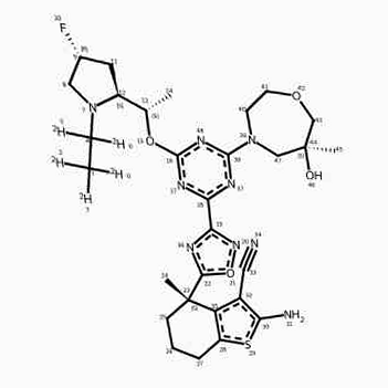 [2H]C([2H])([2H])C([2H])([2H])N1C[C@H](F)C[C@H]1[C@H](C)Oc1nc(-c2noc([C@@]3(C)CCCc4sc(N)c(C#N)c43)n2)nc(N2CCOC[C@@](C)(O)C2)n1